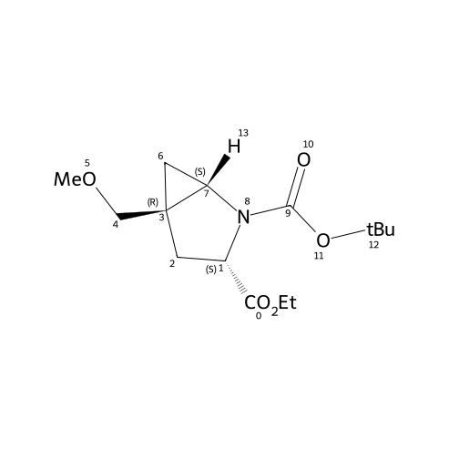 CCOC(=O)[C@@H]1C[C@]2(COC)C[C@@H]2N1C(=O)OC(C)(C)C